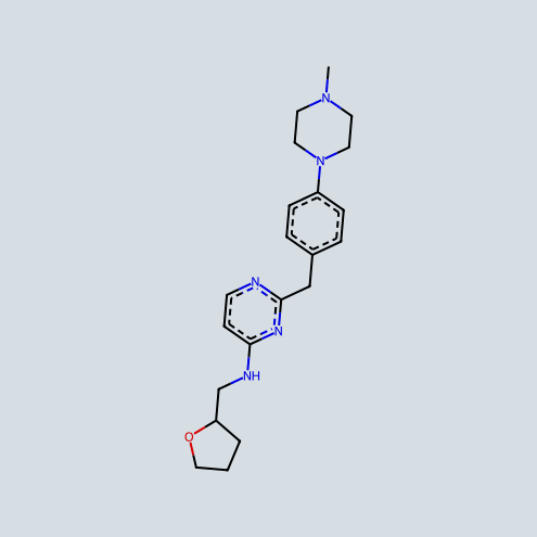 CN1CCN(c2ccc(Cc3nccc(NCC4CCCO4)n3)cc2)CC1